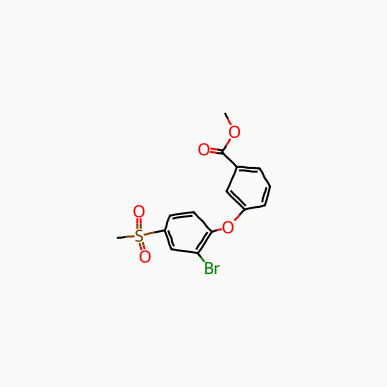 COC(=O)c1cccc(Oc2ccc(S(C)(=O)=O)cc2Br)c1